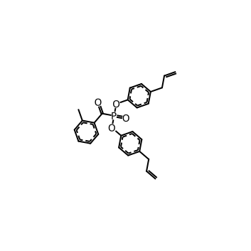 C=CCc1ccc(OP(=O)(Oc2ccc(CC=C)cc2)C(=O)c2ccccc2C)cc1